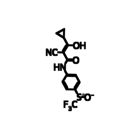 N#C/C(C(=O)Nc1ccc([S+]([O-])C(F)(F)F)cc1)=C(/O)C1CC1